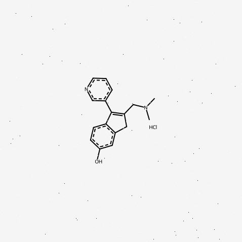 CN(C)CC1=C(c2cccnc2)c2ccc(O)cc2C1.Cl